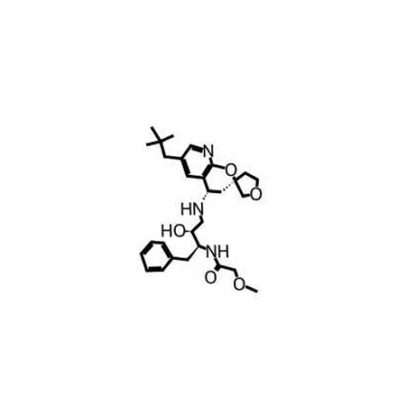 COCC(=O)N[C@@H](Cc1ccccc1)[C@H](O)CN[C@H]1C[C@@]2(CCOC2)Oc2ncc(CC(C)(C)C)cc21